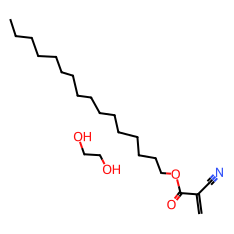 C=C(C#N)C(=O)OCCCCCCCCCCCCCCCC.OCCO